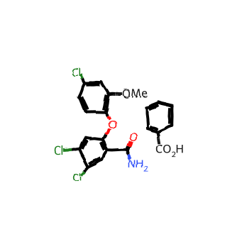 COc1cc(Cl)ccc1Oc1cc(Cl)c(Cl)cc1C(N)=O.O=C(O)c1ccccc1